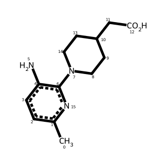 Cc1ccc(N)c(N2CCC(CC(=O)O)CC2)n1